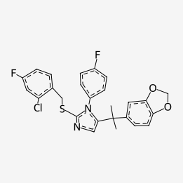 CC(C)(c1ccc2c(c1)OCO2)c1cnc(SCc2ccc(F)cc2Cl)n1-c1ccc(F)cc1